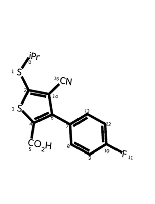 CC(C)Sc1sc(C(=O)O)c(-c2ccc(F)cc2)c1C#N